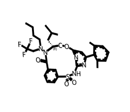 CCCCN(CC(F)(F)F)N1C(=O)c2cccc(c2)S(=O)(=O)Nc2nc(cc(-c3c(C)cccc3C)n2)OC[C@H]1CC(C)C